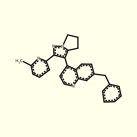 Cc1cccc(-c2nn3c(c2-c2ccnc4cc(Cc5ccccc5)ccc24)CCC3)n1